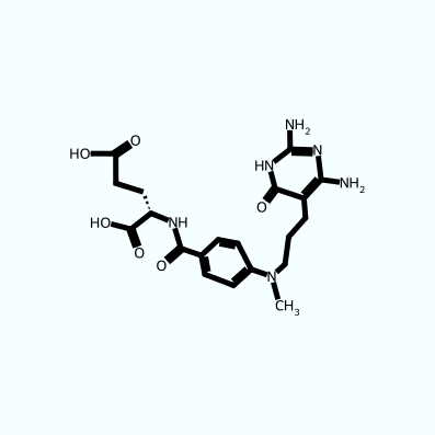 CN(CCCc1c(N)nc(N)[nH]c1=O)c1ccc(C(=O)N[C@@H](CCC(=O)O)C(=O)O)cc1